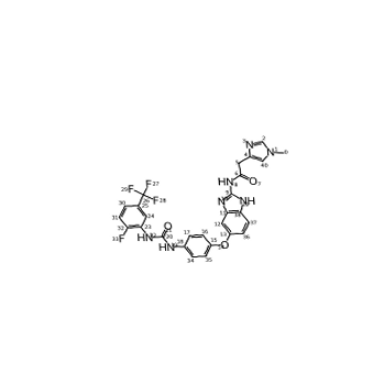 Cn1cnc(CC(=O)Nc2nc3cc(Oc4ccc(NC(=O)Nc5cc(C(F)(F)F)ccc5F)cc4)ccc3[nH]2)c1